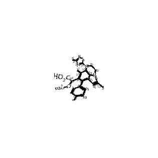 Cc1ccc(-c2c([C@H](OC(C)(C)C)C(=O)O)c(C)c3c4c2cc(C)n4CCN3c2nc(C)ns2)cc1